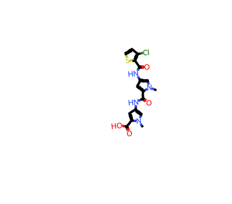 Cn1cc(NC(=O)c2cc(NC(=O)c3sccc3Cl)cn2C)cc1C(=O)O